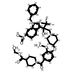 CCOC(=O)C1CCN(C(=O)c2ccc(OC3CCN(CC(O)(c4cn(Cc5ccccc5)c5cc([N+](=O)[O-])ccc45)C(F)(F)F)CC3)c(OC)c2)CC1